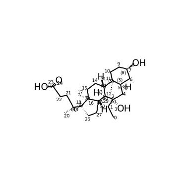 CC[C@]1(O)C[C@@H]2C[C@H](O)CC[C@]2(C)[C@H]2CC[C@]3(C)[C@@H]([C@H](C)CCC(=O)O)CC[C@H]3[C@@H]21